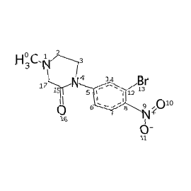 CN1CCN(c2ccc([N+](=O)[O-])c(Br)c2)C(=O)C1